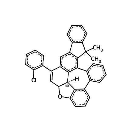 CC1(C)c2ccccc2-c2cc3c4c(c21)-c1ccccc1-c1cccc2c1[C@H]4C(C=C3c1ccccc1Cl)O2